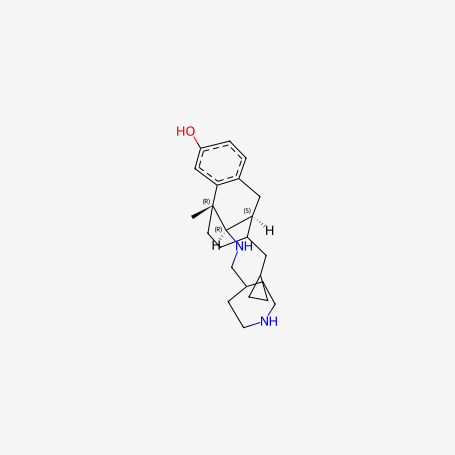 C[C@@]12CCC(CC3CC3)[C@H](Cc3ccc(O)cc31)[C@H]2NCC1CCNCC1